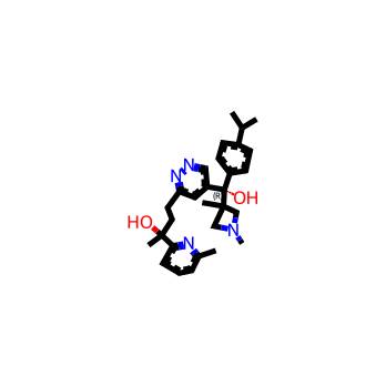 Cc1cccc(C(C)(O)CCc2cc([C@@](O)(c3ccc(C(C)C)cc3)C3(C)CN(C)C3)cnn2)n1